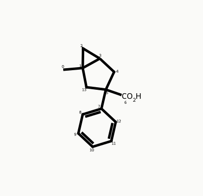 CC12CC1CC(C(=O)O)(c1ccccc1)C2